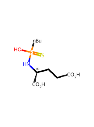 CCCCP(O)(=S)N[C@@H](CCC(=O)O)C(=O)O